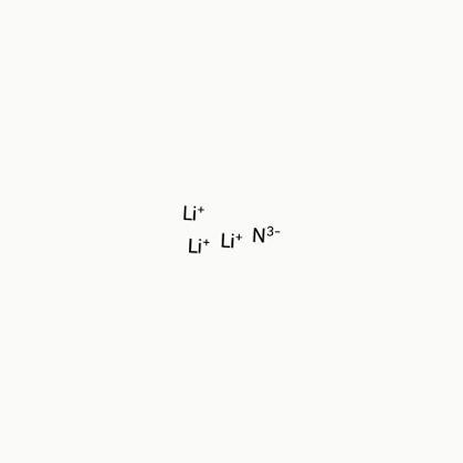 [Li+].[Li+].[Li+].[N-3]